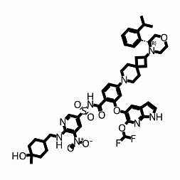 CC(C)c1ccccc1[C@@H]1COCCN1C1CC2(CCN(c3ccc(C(=O)NS(=O)(=O)c4cnc(NCC5CCC(C)(O)CC5)c([N+](=O)[O-])c4)c(Oc4cc5cc[nH]c5nc4OC(F)F)c3)CC2)C1